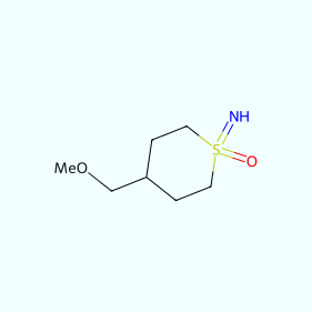 COCC1CCS(=N)(=O)CC1